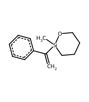 C=C(c1ccccc1)[Si]1(C)CCCCO1